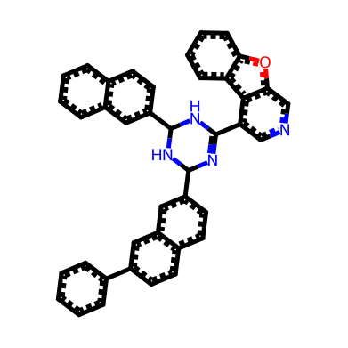 c1ccc(-c2ccc3ccc(C4N=C(c5cncc6oc7ccccc7c56)NC(c5ccc6ccccc6c5)N4)cc3c2)cc1